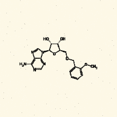 COc1ccccc1COC[C@H]1O[C@@H](n2cnc3c(N)ncnc32)[C@H](O)[C@@H]1O